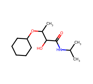 CC(C)NC(=O)C(O)C(C)OC1CCCCC1